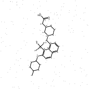 CC1CCC(Oc2ccc3cccc(CN4CCCC(CC(=O)O)C4)c3c2C(F)(F)F)CC1